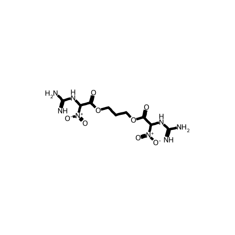 N=C(N)NC(C(=O)OCCCOC(=O)C(NC(=N)N)[N+](=O)[O-])[N+](=O)[O-]